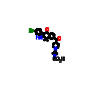 CC1(C)c2cc(C(=O)C3CCN(C4CN(C(=O)O)C4)CC3)ccc2C(=O)c2c1[nH]c1cc(Br)ccc21